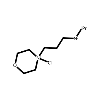 CC(C)[N]CCC[N+]1(Cl)CCOCC1